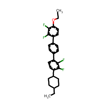 CCOc1ccc(-c2ccc(-c3ccc(C4CCC(CC)CC4)c(F)c3F)cc2)c(F)c1F